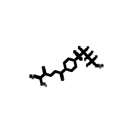 C=C(C)C(=O)CCC(=O)N1CCN(S(=O)(=O)C(F)(F)C(F)(F)C(F)(F)S(=O)(=O)O)CC1